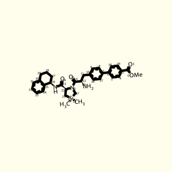 COC(=O)c1ccc(-c2ccc(C[C@H](N)C(=O)N3C[Si](C)(C)C[C@H]3C(=O)N[C@@H]3CCCc4ccccc43)cc2)cc1